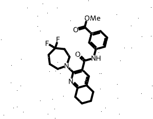 COC(=O)c1cccc(NC(=O)c2cc3c(nc2N2CCCC(F)(F)CC2)CCCC3)c1